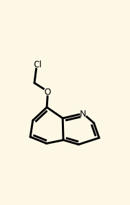 ClCOc1cccc2cccnc12